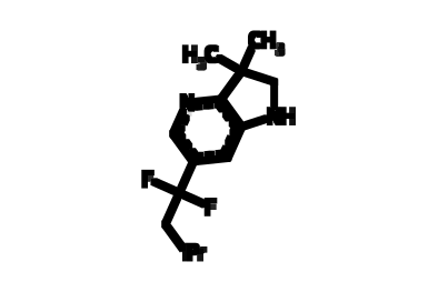 CC(C)CC(F)(F)c1cnc2c(c1)NCC2(C)C